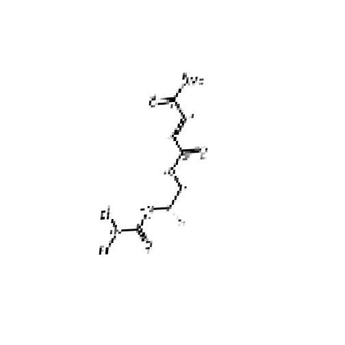 CCN(CC)C(=O)N[C@@H](C)COC(=O)/C=C/C(=O)OC